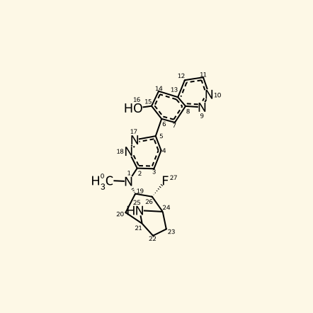 CN(c1ccc(-c2cc3nnccc3cc2O)nn1)[C@H]1CC2CCC(N2)[C@H]1F